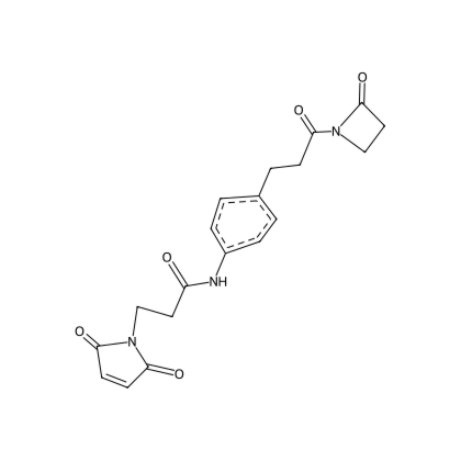 O=C(CCN1C(=O)C=CC1=O)Nc1ccc(CCC(=O)N2CCC2=O)cc1